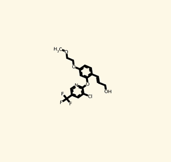 COCCOc1ccc(/C=C/CO)c(Oc2ncc(C(F)(F)F)cc2Cl)c1